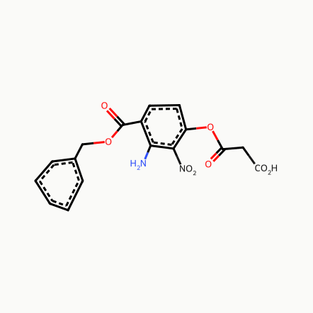 Nc1c(C(=O)OCc2ccccc2)ccc(OC(=O)CC(=O)O)c1[N+](=O)[O-]